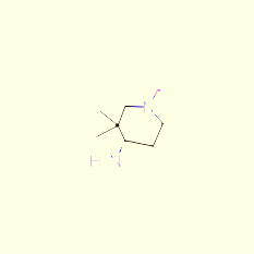 CC1(C)CN(I)CC[C@H]1N